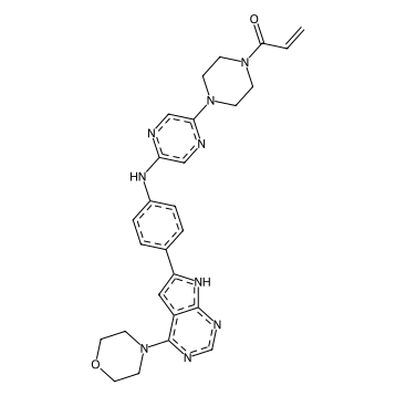 C=CC(=O)N1CCN(c2cnc(Nc3ccc(-c4cc5c(N6CCOCC6)ncnc5[nH]4)cc3)cn2)CC1